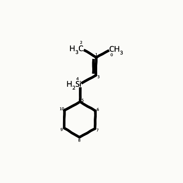 CC(C)=C[SiH2]C1CCCCC1